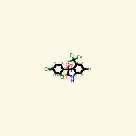 O=C1Nc2cc(I)cc(C(F)(F)F)c2C1(O)c1ccc(Cl)cc1Cl